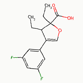 CCC1C(c2cc(F)cc(F)c2)=COC1(CC)C(=O)O